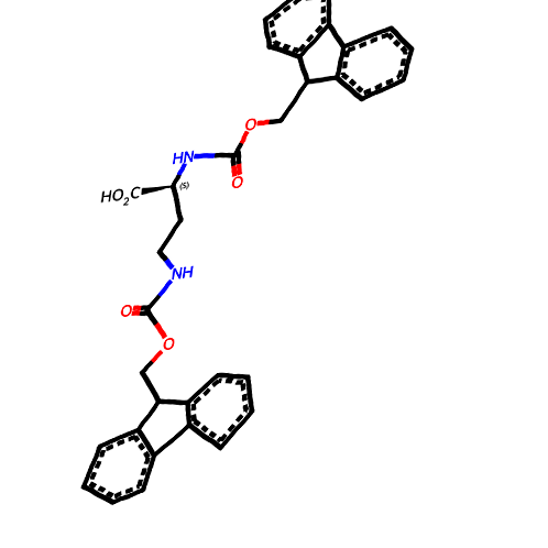 O=C(NCC[C@H](NC(=O)OCC1c2ccccc2-c2ccccc21)C(=O)O)OCC1c2ccccc2-c2ccccc21